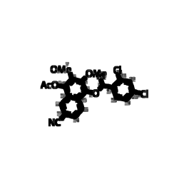 CCC(Oc1c(OC)c(OC)c(OC(C)=O)c2cc(C#N)ccc12)c1ccc(Cl)cc1Cl